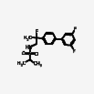 CC(C)S(=O)(=O)NCC(C)(F)c1ccc(-c2cc(F)cc(F)c2)cc1